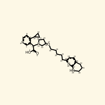 O=C(O)C(c1cnccc1C1CC1)N1CC[C@@H](OCCCCCc2ccc3c(n2)NCCC3)C1